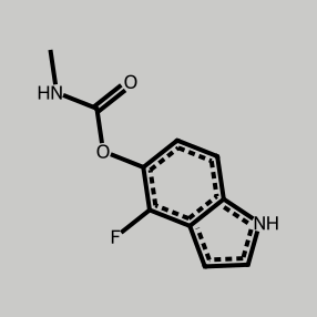 CNC(=O)Oc1ccc2[nH]ccc2c1F